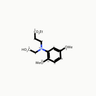 CCOC(=O)CCN(CC(=O)O)c1cc(OC)ccc1OC